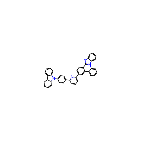 C1=CC2c3ccccc3N(c3ccc(-c4cccc(-c5ccc6c(c5)c5ccccc5n5c7ccccc7nc65)n4)cc3)C2C=C1